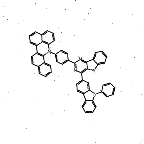 c1ccc(-n2c3ccccc3c3ccc(-c4nc(-c5ccc(N6c7c(ccc8ccccc78)-c7cccc8cccc6c78)cc5)nc5c4sc4ccccc45)cc32)cc1